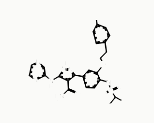 NC(=O)c1c(-c2ccc(NS(=O)(=O)C(F)F)c(OCCc3ccc(F)cc3)c2)n[nH]c1Nc1cnccn1